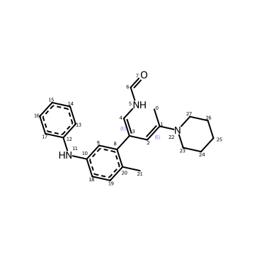 C/C(=C\C(=C/NC=O)c1cc(Nc2ccccc2)ccc1C)N1CCCCC1